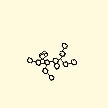 c1ccc(-c2ccc(N(c3cccc(-c4ccccc4)c3)c3ccc(-c4cc(-c5cccc(-c6ccccc6)c5)c5c(c4)C4(c6cc(-c7ccccc7)ccc6-5)C5CC6CC(C5)CC4C6)c4ccccc34)cc2)cc1